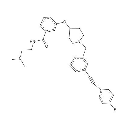 CN(C)CCNC(=O)c1cccc(OC2CCN(Cc3cccc(C#Cc4ccc(F)cc4)c3)CC2)c1